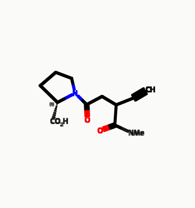 C#CC(CC(=O)N1CCC[C@H]1C(=O)O)C(=O)NC